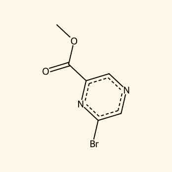 COC(=O)c1cncc(Br)n1